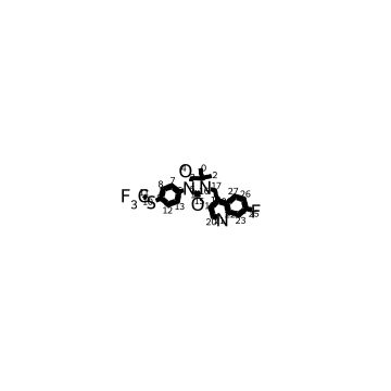 CC1(C)C(=O)N(c2ccc(SC(F)(F)F)cc2)C(=O)N1Cc1ccnc2cc(F)ccc12